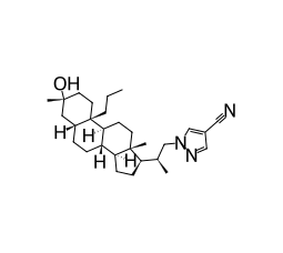 CCC[C@]12CC[C@@](C)(O)C[C@H]1CC[C@H]1[C@@H]3CC[C@H]([C@H](C)Cn4cc(C#N)cn4)[C@@]3(C)CC[C@@H]12